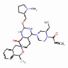 C=CC(=O)N1CCN(C2NC(OCC3CCCN3C)NC3C(=O)[C@@]4(CCC32)Cc2ccccc2C(C)O4)CC1CC#N